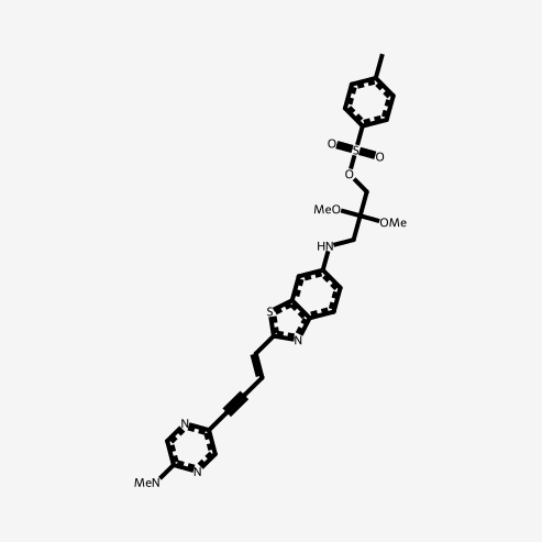 CNc1cnc(C#C/C=C/c2nc3ccc(NCC(COS(=O)(=O)c4ccc(C)cc4)(OC)OC)cc3s2)cn1